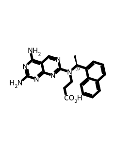 C[C@@H](c1cccc2ccccc12)N(CCC(=O)O)c1ncc2c(N)nc(N)nc2n1